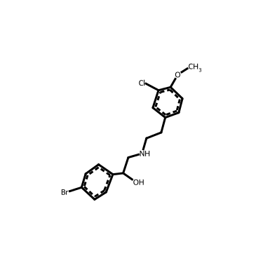 COc1ccc(CCNCC(O)c2ccc(Br)cc2)cc1Cl